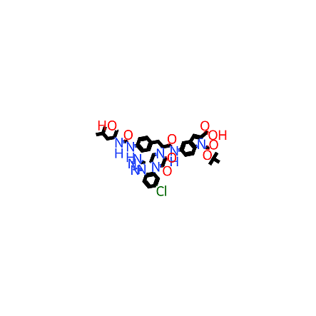 CC(C)CC(CO)NC(=O)Nc1ccc(CC(C(=O)Nc2ccc3c(c2)cc(C(=O)O)n3C(=O)OC(C)(C)C)N2CCN(c3cc(Cl)ccc3-n3cnnn3)C(=O)C2=O)cc1